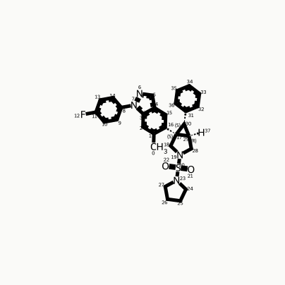 Cc1cc2c(cnn2-c2ccc(F)cc2)cc1[C@@]12CN(S(=O)(=O)N3CCCC3)C[C@@H]1[C@H]2c1ccccc1